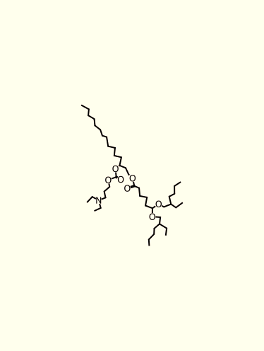 CCCCCCCCCCCCC(CCOC(=O)CCCCC(OCC(CC)CCCC)OCC(CC)CCCC)OC(=O)OCCCN(CC)CC